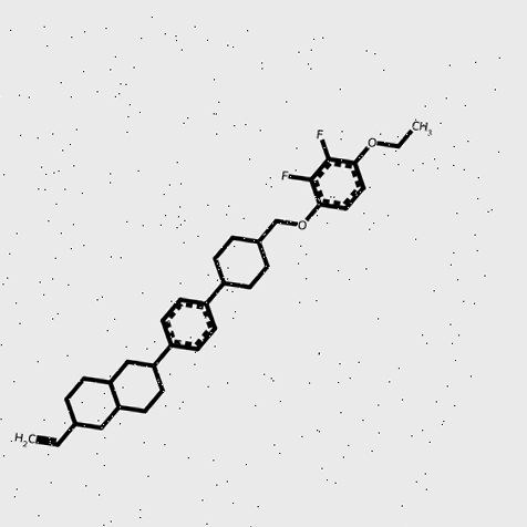 C=CC1CCC2CC(c3ccc(C4CCC(COc5ccc(OCC)c(F)c5F)CC4)cc3)CCC2C1